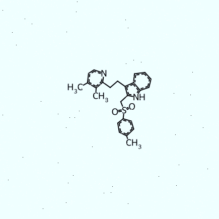 Cc1ccc(S(=O)(=O)Cc2[nH]c3ccccc3c2CCc2nccc(C)c2C)cc1